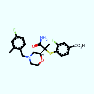 Cc1cc(F)ccc1CN1CCO[C@H](C(C)(Sc2ccc(C(=O)O)cc2F)C(N)=O)C1